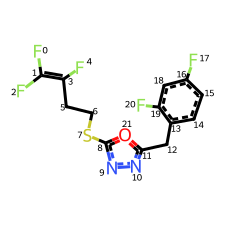 FC(F)=C(F)CCSc1nnc(Cc2ccc(F)cc2F)o1